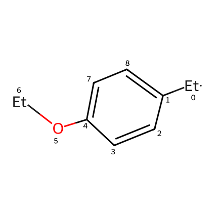 C[CH]c1ccc(OCC)cc1